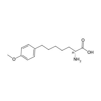 COc1ccc(CCCCC[C@@H](N)C(=O)O)cc1